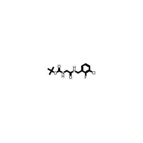 CC(C)(C)OC(=O)NCC(=O)NCc1cccc(Cl)c1F